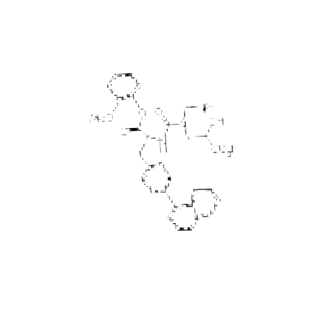 COc1ccccc1OC(=O)[C@H](Cc1ccc(-c2cccc3ccccc23)cc1)NC(=O)N(CC(C)C)CC(O)C(=O)O